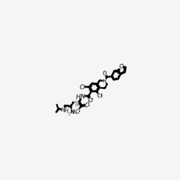 CC(C)/N=C/C(N)C[C@H](NC(=O)c1c(Cl)cc2c(c1Cl)CCN(C(=O)c1ccc3ccoc3c1)C2)C(=O)O